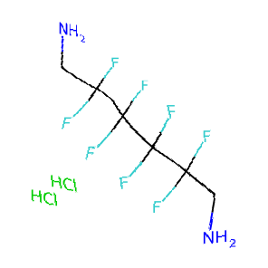 Cl.Cl.NCC(F)(F)C(F)(F)C(F)(F)C(F)(F)CN